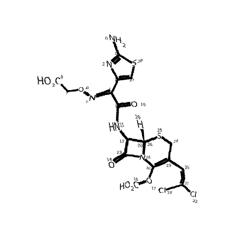 Nc1nc(C(=NOCC(=O)O)C(=O)NC2C(=O)N3C(OC(=O)O)=C(C=C(Cl)Cl)CS[C@@H]23)cs1